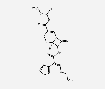 CCOC(=O)OC(C)OC(=O)C1=CN2C(=O)C(NC(=O)C(=NOCC(=O)O)c3cscn3)[C@H]2SC1